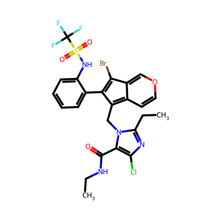 CCNC(=O)c1c(Cl)nc(CC)n1Cc1c2ccocc-2c(Br)c1-c1ccccc1NS(=O)(=O)C(F)(F)F